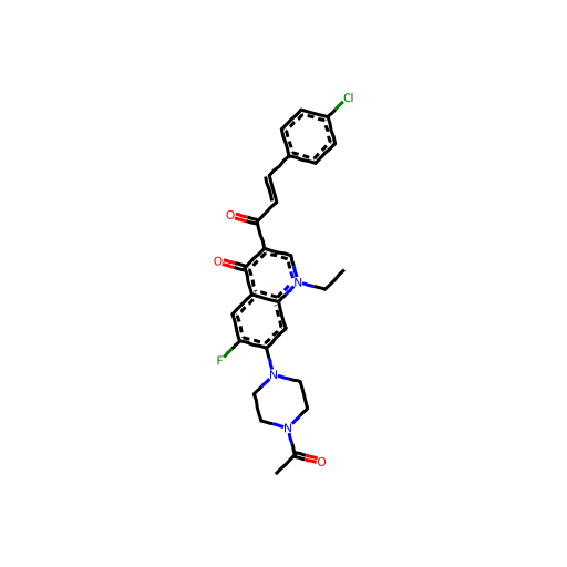 CCn1cc(C(=O)C=Cc2ccc(Cl)cc2)c(=O)c2cc(F)c(N3CCN(C(C)=O)CC3)cc21